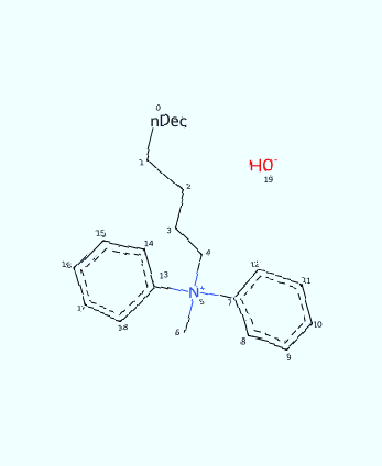 CCCCCCCCCCCCCC[N+](C)(c1ccccc1)c1ccccc1.[OH-]